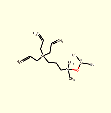 C=CC[Si](CC=C)(CC=C)CCC[Si](C)(C)O[SiH](C)C(C)CC